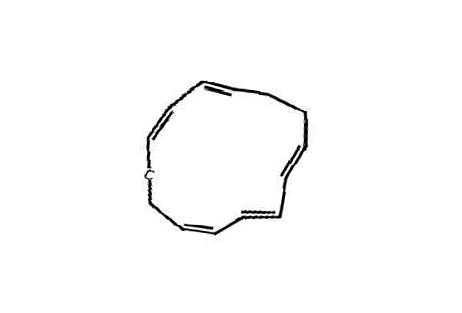 C1=C\CC/C=C\C=C\CC/C=C/C=C/1